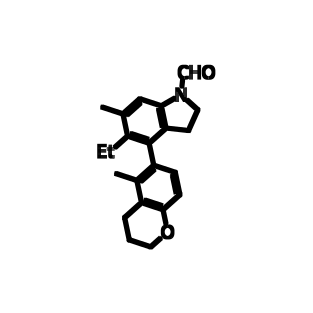 CCc1c(C)cc2c(c1-c1ccc3c(c1C)CCCO3)CCN2C=O